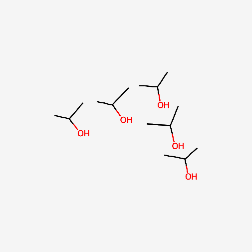 CC(C)O.CC(C)O.CC(C)O.CC(C)O.CC(C)O